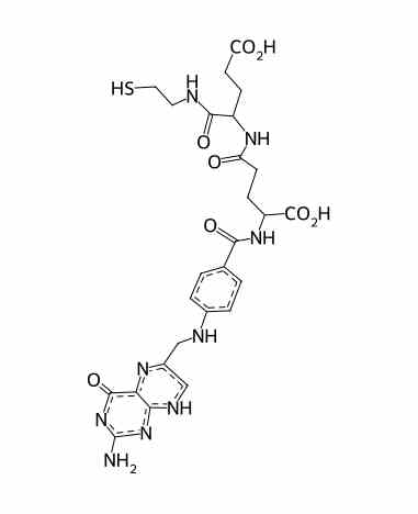 Nc1nc2[nH]cc(CNc3ccc(C(=O)NC(CCC(=O)NC(CCC(=O)O)C(=O)NCCS)C(=O)O)cc3)nc-2c(=O)n1